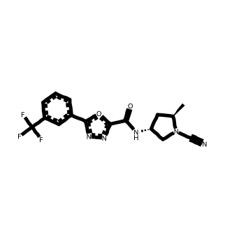 C[C@@H]1C[C@@H](NC(=O)c2nnc(-c3cccc(C(F)(F)F)c3)o2)CN1C#N